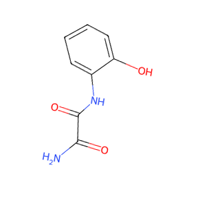 NC(=O)C(=O)Nc1ccccc1O